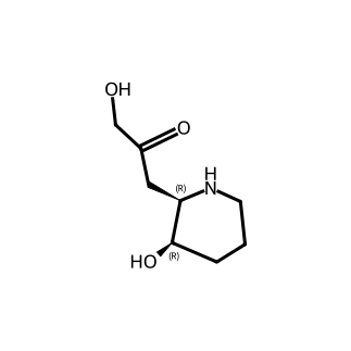 O=C(CO)C[C@H]1NCCC[C@H]1O